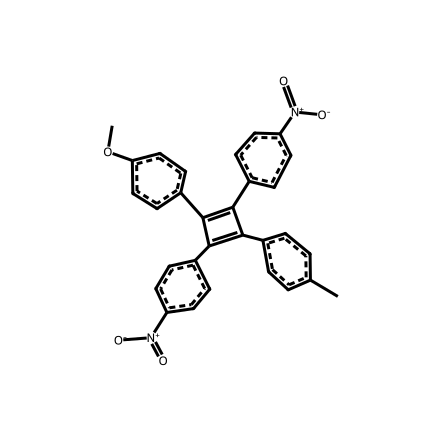 COc1ccc(C2=C(c3ccc([N+](=O)[O-])cc3)C(c3ccc(C)cc3)=C2c2ccc([N+](=O)[O-])cc2)cc1